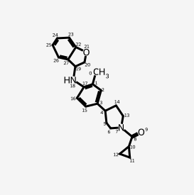 Cc1cc(C2CCN(C(=O)C3CC3)CC2)ccc1NC1COc2ccccc21